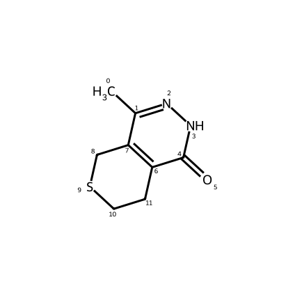 Cc1n[nH]c(=O)c2c1CSCC2